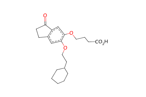 O=C(O)CCCOc1cc2c(cc1OCCC1CCCCC1)CCC2=O